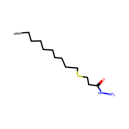 CCCCCCCCCCCCCCCCCCSCCC(=O)NN